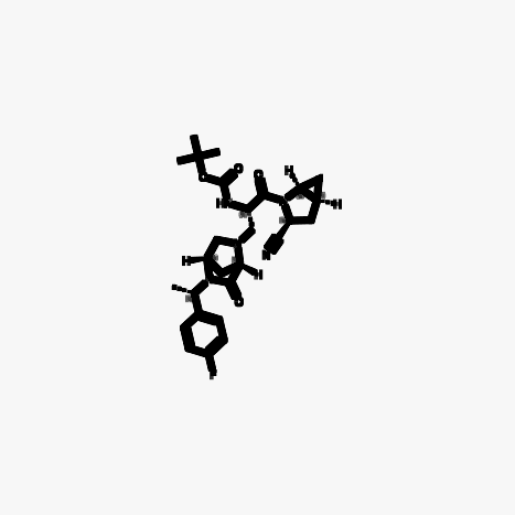 C[C@@H](c1ccc(F)cc1)N1C(=O)[C@@H]2C[C@H]1CN2C[C@H](NC(=O)OC(C)(C)C)C(=O)N1[C@H](C#N)C[C@@H]2C[C@@H]21